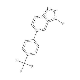 Fc1[c]sc2ccc(-c3ccc(C(F)(F)F)cc3)cc12